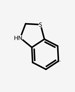 [c]1ccc2c(c1)SCN2